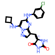 O=C1NC(=O)/C(=C\c2cnn3c(NC4CCC4)cc(Nc4cccc(Cl)c4)nc23)N1